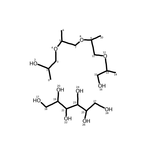 CC(O)COC(C)COC(C)COC(C)CO.OCC(O)C(O)C(O)C(O)CO